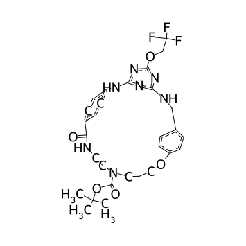 CC(C)(C)OC(=O)N1CCCOc2ccc(cc2)CNc2nc(nc(OCC(F)(F)F)n2)Nc2ccc(cc2)C(=O)NCC1